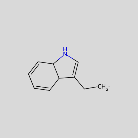 [CH2]CC1=CNC2C=CC=CC12